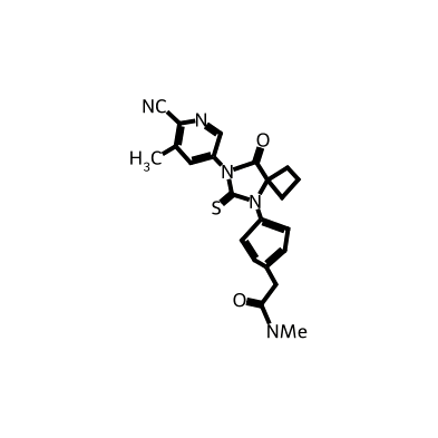 CNC(=O)Cc1ccc(N2C(=S)N(c3cnc(C#N)c(C)c3)C(=O)C23CCC3)cc1